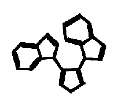 [C]1=C(C2C=Cc3ccccc32)C(C2C=Cc3ccccc32)=CC1